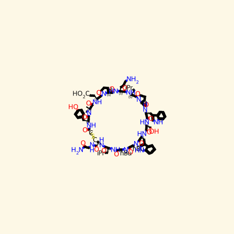 CCCC[C@H]1C(=O)N(C)[C@@H](CCCC)C(=O)N[C@@H](CC(C)C)C(=O)N[C@H](C(=O)NCC(N)=O)CSCC(=O)N[C@@H](Cc2ccc(O)cc2)C(=O)N(C)[C@@H](C)C(=O)N[C@@H](CCC(=O)O)C(=O)N2CCC[C@H]2C(=O)N[C@@H](CCCN)C(=O)N[C@@H](CC(C)C)C(=O)N2CCC[C@H]2C(=O)N[C@@H](Cc2c[nH]c3ccccc23)C(=O)N[C@@H](CO)C(=O)N[C@@H](Cc2c[nH]c3ccccc23)C(=O)N1C